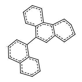 [c]1cc(-c2cc3ccccc3c3ccccc23)c2ccccc2c1